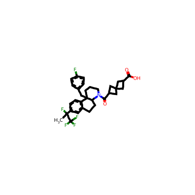 CC(F)(c1ccc2c(c1)CCC1N(C(=O)C3CC4(CC(C(=O)O)C4)C3)CCCC21Cc1ccc(F)cc1)C(F)(F)F